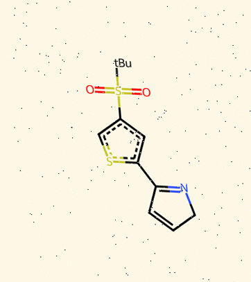 CC(C)(C)S(=O)(=O)c1csc(C2=NCC=C2)c1